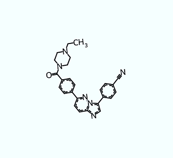 CCN1CCN(C(=O)c2ccc(-c3ccc4ncc(-c5ccc(C#N)cc5)n4n3)cc2)CC1